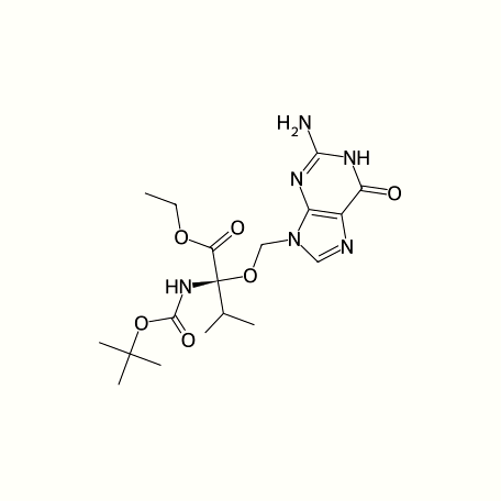 CCOC(=O)[C@](NC(=O)OC(C)(C)C)(OCn1cnc2c(=O)[nH]c(N)nc21)C(C)C